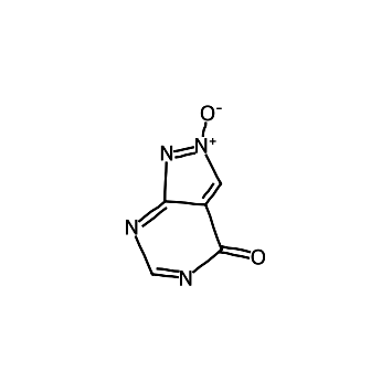 O=C1N=CN=C2N=[N+]([O-])C=C12